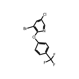 FC(F)(F)c1ccc(Oc2ncc(Cl)cc2Br)cc1